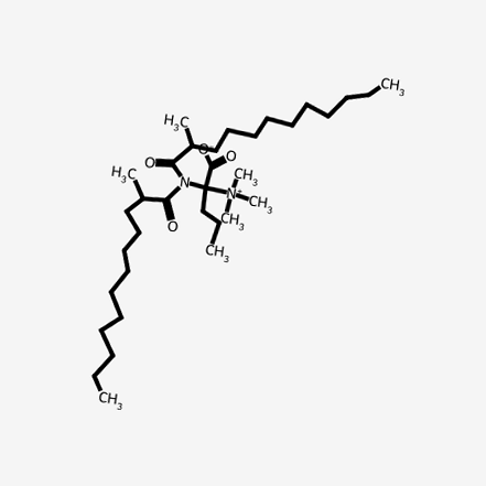 CCCCCCCCCCC(C)C(=O)N(C(=O)C(C)CCCCCCCCCC)C(CCC)(C(=O)[O-])[N+](C)(C)C